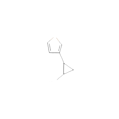 CCOC(=O)C1CC1c1ccsc1